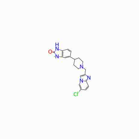 O=C1[N]c2cc(C3CCN(Cc4cn5cc(Cl)ccc5n4)CC3)ccc2N1